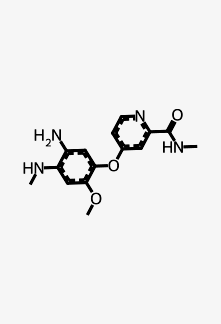 CNC(=O)c1cc(Oc2cc(N)c(NC)cc2OC)ccn1